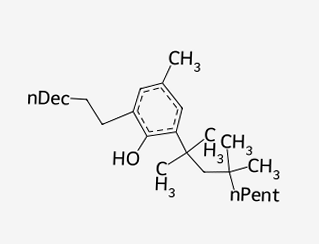 CCCCCCCCCCCCc1cc(C)cc(C(C)(C)CC(C)(C)CCCCC)c1O